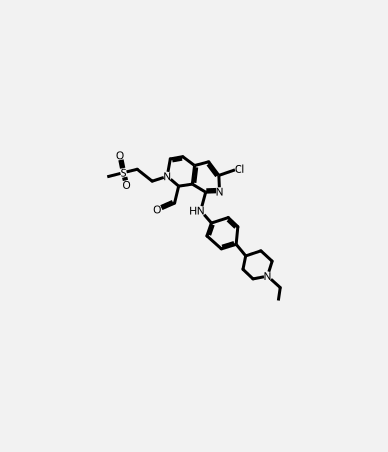 CCN1CCC(c2ccc(Nc3nc(Cl)cc4c3C(C=O)N(CCS(C)(=O)=O)C=C4)cc2)CC1